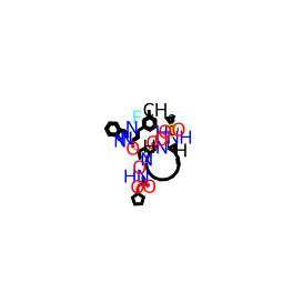 Cc1cccc(-c2cc(O[C@@H]3C[C@H]4C(=O)N[C@]5(C(=O)NS(=O)(=O)C6CC6)C[C@H]5/C=C\CCCCC[C@H](NC(=O)OC5CCCC5)C(=O)N4C3)n3nc4ccccc4c3n2)c1F